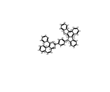 c1ccc(-c2nc(-c3ccc(-n4c5ccccc5c5c6ccccc6c6c7ccccc7sc6c54)cc3)nc3ccc4ccccc4c23)cc1